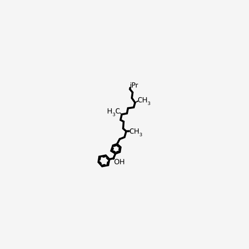 CC(C)CCC[C@@H](C)CCC[C@@H](C)CCCC(C)CCc1ccc(C(O)c2ccccc2)cc1